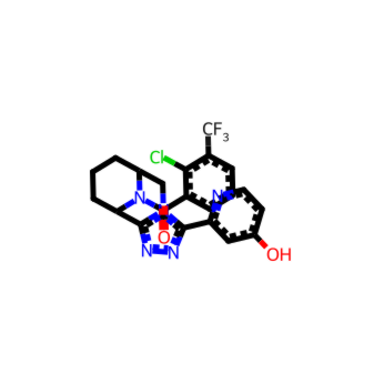 O=C(c1cccc(C(F)(F)F)c1Cl)N1C2CCCC1c1nnc(-c3cc(O)ccn3)n1C2